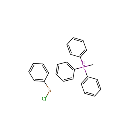 C[PH](c1ccccc1)(c1ccccc1)c1ccccc1.ClSc1ccccc1